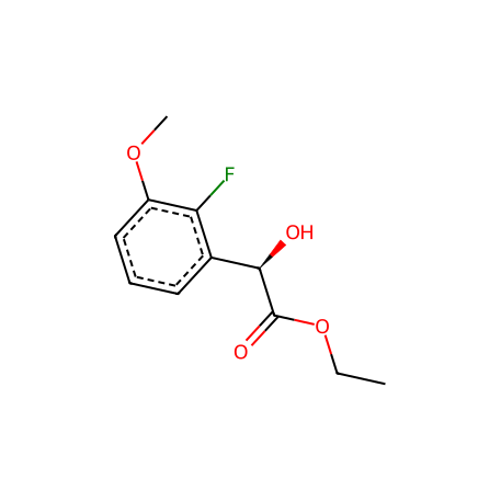 CCOC(=O)[C@H](O)c1cccc(OC)c1F